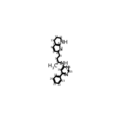 C[C@@H](C[CH]c1ccc2c(n1)NCCC2)Nc1cc(-c2ccccc2)ncn1